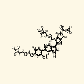 CCc1cc(OCOCC[Si](C)(C)C)c(F)cc1-c1cc2[nH]nc(-c3nc4c(n3COCC[Si](C)(C)C)CN(C(=O)C3CC3)C4)c2cn1